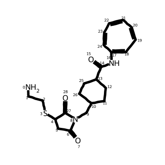 NCCSC1CC(=O)N(CC2CCC(C(=O)NC3=C/C=C\C=C/C=C\3)CC2)C1=O